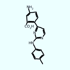 Cc1ccc(Nc2nccc(-c3ccc(N)cc3C(=O)O)n2)cc1